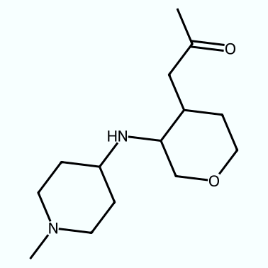 CC(=O)CC1CCOCC1NC1CCN(C)CC1